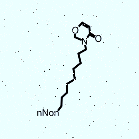 CCCCCCCCCCCCCCCCCCN1COC=CC1=O